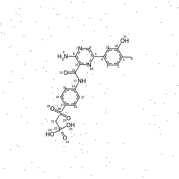 Cc1ccc(-c2cnc(N)c(C(=O)Nc3ccc(S(=O)(=O)CP(=O)(O)O)cc3)n2)cc1O